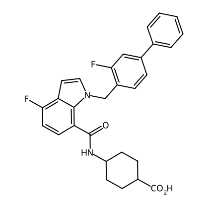 O=C(NC1CCC(C(=O)O)CC1)c1ccc(F)c2ccn(Cc3ccc(-c4ccccc4)cc3F)c12